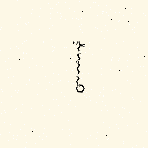 NC(=O)COCCOCCCOCCN1CCCCC1